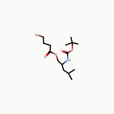 CC(C)CC(COC(=O)CCCBr)NC(=O)OC(C)(C)C